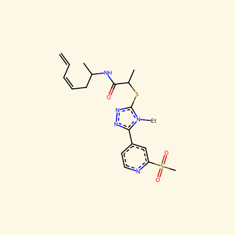 C=C/C=C\CC(C)NC(=O)C(C)Sc1nnc(-c2ccnc(S(C)(=O)=O)c2)n1CC